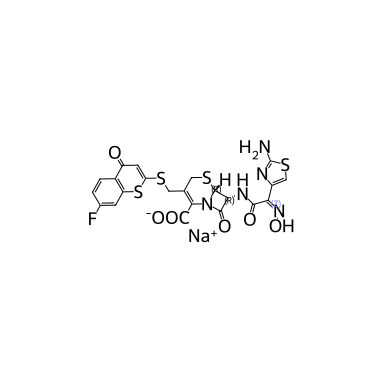 Nc1nc(/C(=N/O)C(=O)N[C@@H]2C(=O)N3C(C(=O)[O-])=C(CSc4cc(=O)c5ccc(F)cc5s4)CS[C@H]23)cs1.[Na+]